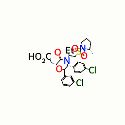 CCC(CS(=O)(=O)N1CCC[C@@H]1C)N1C(=O)[C@@H](CC(=O)O)O[C@H](c2cccc(Cl)c2)[C@H]1c1ccc(Cl)cc1